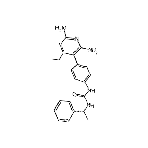 CCc1nc(N)nc(N)c1-c1ccc(NC(=O)NC(C)c2ccccc2)cc1